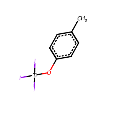 Cc1ccc([O][Ti]([I])([I])[I])cc1